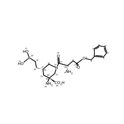 N[C@@H](CC(=O)OCc1ccccc1)C(=O)N1C[C@@H](CCB(O)O)C[C@](N)(C(=O)O)C1